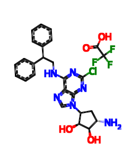 N[C@H]1CC(n2cnc3c(NCC(c4ccccc4)c4ccccc4)nc(Cl)nc32)[C@H](O)[C@@H]1O.O=C(O)C(F)(F)F